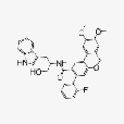 COc1cc2c(cc1OC)-c1cc(C(=O)NC(CO)Cc3c[nH]c4ccccc34)c(-c3ccccc3F)cc1OC2